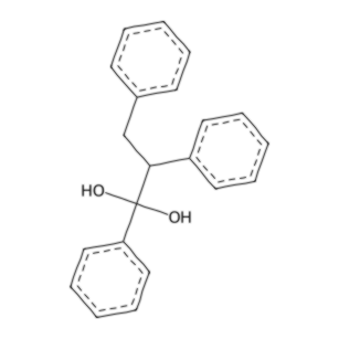 OC(O)(c1ccccc1)C(Cc1ccccc1)c1ccccc1